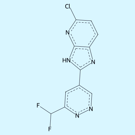 FC(F)c1cc(-c2nc3ccc(Cl)nc3[nH]2)cnn1